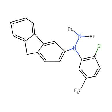 CCN(CC)N(c1ccc2c(c1)-c1ccccc1C2)c1cc(C(F)(F)F)ccc1Cl